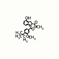 COC(=O)C1Cc2c(O)cccc2N1C(=O)c1ccc(C(C)(C)C)c(OC)c1